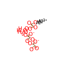 O.O.O.O=S(=O)([O-])[O-].O=S(=O)([O-])[O-].O=S(=O)([O-])[O-].[Al+3].[Al+3]